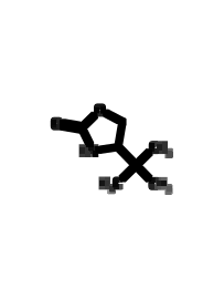 CC(C)(C)C1COC(=O)N1